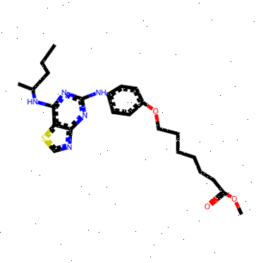 CCCC(C)Nc1nc(Nc2ccc(OCCCCCCC(=O)OC)cc2)nc2ncsc12